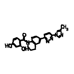 Cc1cn(-c2ccc(-c3ccc4c(c3)CCCN4C(=O)c3ccc(O)cc3O)nn2)cn1